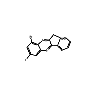 Fc1cc(Br)c2nc3c(nc2c1)-c1ccccc1C3